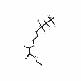 CCOC(=O)C(C)SCCCC(F)(F)C(F)(F)C(F)(F)F